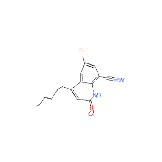 Bc1cc(C#N)c2[nH]c(=O)cc(CCCC)c2c1